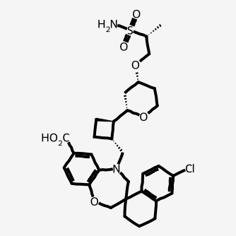 C[C@H](CO[C@@H]1CCO[C@H]([C@@H]2CC[C@H]2CN2CC3(CCCc4cc(Cl)ccc43)COc3ccc(C(=O)O)cc32)C1)S(N)(=O)=O